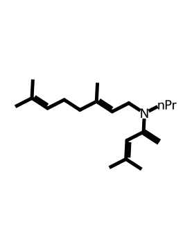 C=C(C=C(C)C)N(C/C=C(\C)CCC=C(C)C)CCC